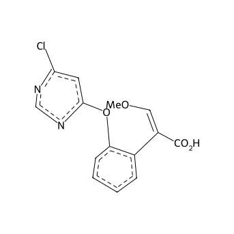 CO/C=C(/C(=O)O)c1ccccc1Oc1cc(Cl)ncn1